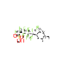 Cc1ccc(C(F)(F)C(F)(F)C(F)(F)C(F)(F)S(=O)(=O)O)c(F)c1